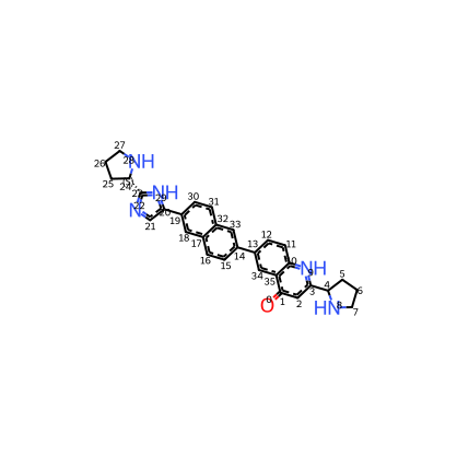 O=c1cc(C2CCCN2)[nH]c2ccc(-c3ccc4cc(-c5cnc([C@@H]6CCCN6)[nH]5)ccc4c3)cc12